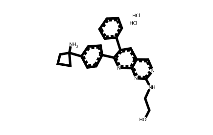 Cl.Cl.NC1(c2ccc(-c3nc4nc(NCCO)ncc4cc3-c3ccccc3)cc2)CCC1